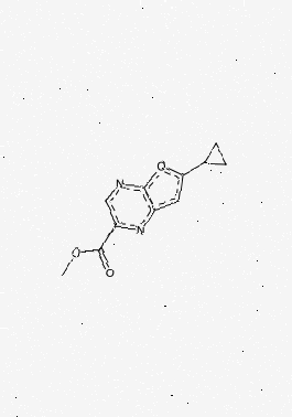 COC(=O)c1cnc2oc(C3CC3)cc2n1